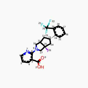 O=C(O)c1cccnc1N1CC2C[C@H](c3ccccc3C(F)(F)F)C[C@]2(I)C1